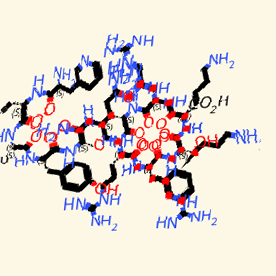 CC[C@H](C)[C@H](NC(=O)[C@H](CC(C)C)NC(=O)[C@@H](N)Cc1cccnc1)C(=O)N[C@@H](Cc1ccc(O)cc1)C(=O)N[C@@H](C)C(=O)N[C@@H](CCC(N)=O)C(=O)NCC(=O)N[C@@H](Cc1ccccc1)C(=O)N[C@@H](CO)C(=O)N[C@@H](CCCCN)C(=O)N[C@@H](CCCNC(=N)N)C(=O)N[C@@H](CCCCN)C(=O)N[C@@H](CCCNC(=N)N)C(=O)N[C@@H](CCCNC(=N)N)C(=O)N[C@@H](CCCCN)C(=O)N[C@@H](CCCNC(=N)N)C(=O)O